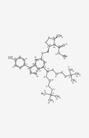 C[C@@H]1CC[C@H](CCc2cc(N(COCC[Si](C)(C)C)COCC[Si](C)(C)C)n3ncc(-c4ccc(Cl)nc4)c3n2)N1C(=O)OC(C)(C)C